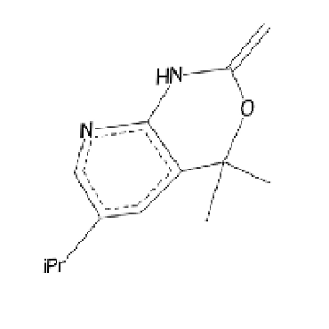 C=C1Nc2ncc(C(C)C)cc2C(C)(C)O1